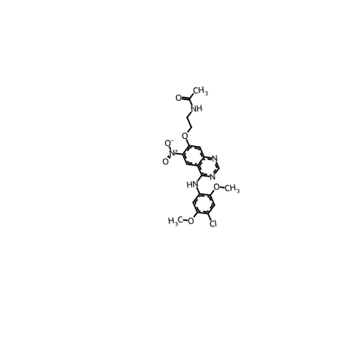 COc1cc(Nc2ncnc3cc(OCCNC(C)=O)c([N+](=O)[O-])cc23)c(OC)cc1Cl